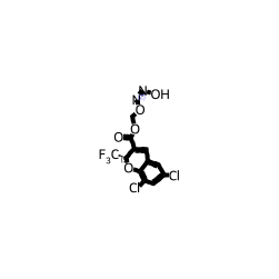 O=C(OCO/N=N\O)C1=Cc2cc(Cl)cc(Cl)c2O[C@@H]1C(F)(F)F